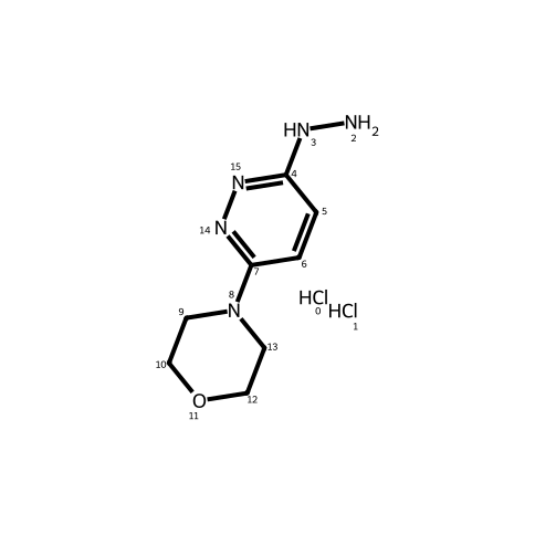 Cl.Cl.NNc1ccc(N2CCOCC2)nn1